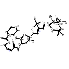 C[C@@H](/C=C\C(=O)N[C@@H]1C[C@H](C)[C@H](C/C=C(/C=C/[C@H]2OC(C)(C)C[C@]3(O[C@@H]3C)[C@@H]2O)C(F)(F)F)O[C@@H]1C)OC(=O)N1CCOCC1